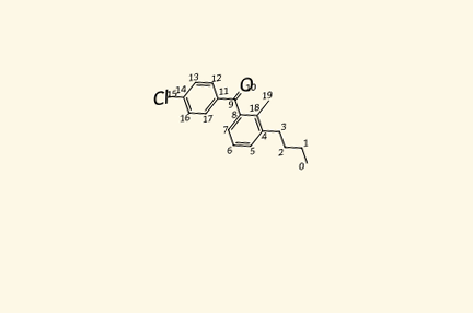 CCCCc1cccc(C(=O)c2ccc(Cl)cc2)c1C